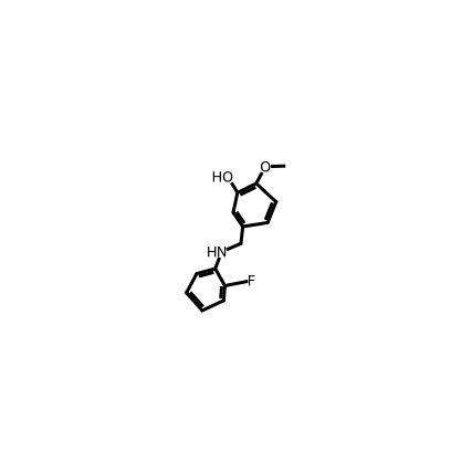 COc1ccc(CNc2ccccc2F)cc1O